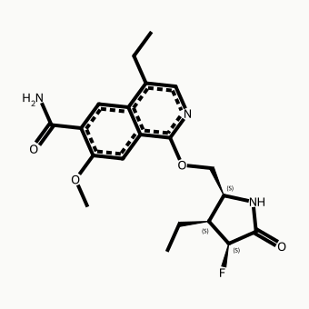 CCc1cnc(OC[C@H]2NC(=O)[C@@H](F)[C@H]2CC)c2cc(OC)c(C(N)=O)cc12